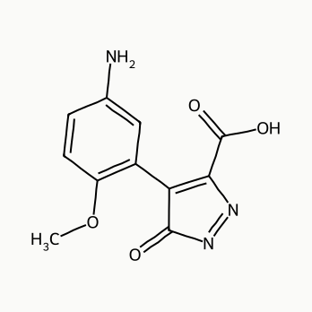 COc1ccc(N)cc1C1=C(C(=O)O)N=NC1=O